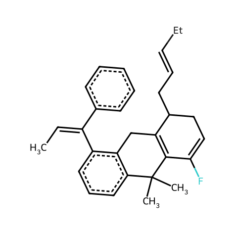 C/C=C(/c1ccccc1)c1cccc2c1CC1=C(C(F)=CCC1CC=CCC)C2(C)C